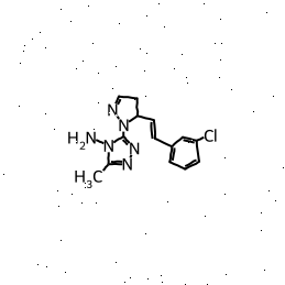 Cc1nnc(N2N=CCC2/C=C/c2cccc(Cl)c2)n1N